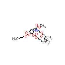 CCCCCOC(=O)Oc1ccc(C[C@H](NCCOC(=O)CC(C)CC)C(=O)OC)cc1OC(=O)OCCCCC